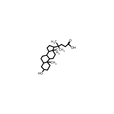 CC(C)(CCC(=O)O)C1CCC2C3CCC4CC(O)CCC4(C)C3CCC21C